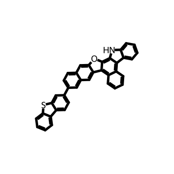 c1ccc2c(c1)[nH]c1c3oc4cc5ccc(-c6ccc7c(c6)sc6ccccc67)cc5cc4c3c3ccccc3c21